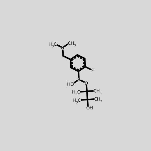 CN(C)Cc1ccc(F)c(B(O)OC(C)(C)C(C)(C)O)c1